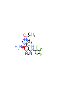 C=CC(=O)N1CCN(C(N)=O)[C@](C)(c2ccc3ncnc(Nc4ccc(F)c(Cl)c4F)c3c2)C1